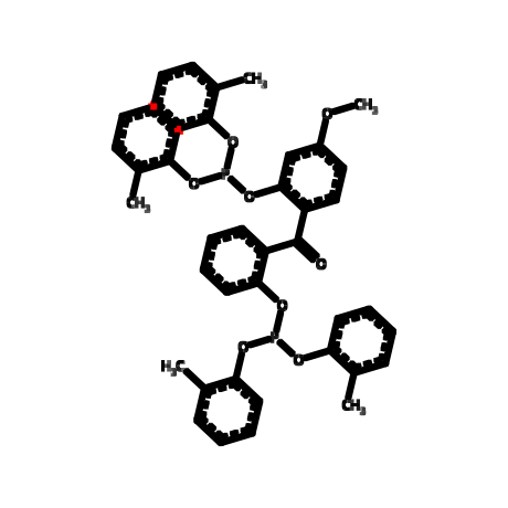 COc1ccc(C(=O)c2ccccc2OP(Oc2ccccc2C)Oc2ccccc2C)c(OP(Oc2ccccc2C)Oc2ccccc2C)c1